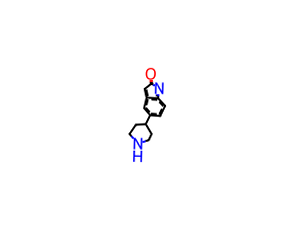 O=C1C=c2cc(C3CCNCC3)ccc2=N1